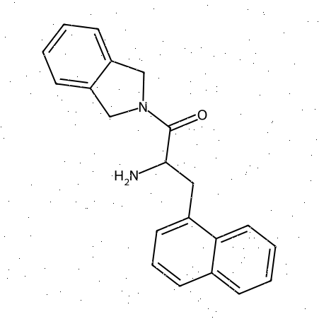 NC(Cc1cccc2ccccc12)C(=O)N1Cc2ccccc2C1